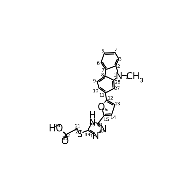 Cn1c2ccccc2c2ccc(-c3ccc(-c4nnc(SCC(=O)O)[nH]4)o3)cc21